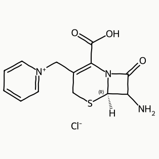 NC1C(=O)N2C(C(=O)O)=C(C[n+]3ccccc3)CS[C@H]12.[Cl-]